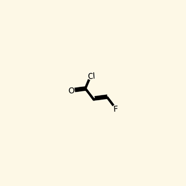 O=C(Cl)C=CF